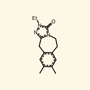 CCn1nc2n(c1=O)CCc1cc(C)c(C)cc1C2